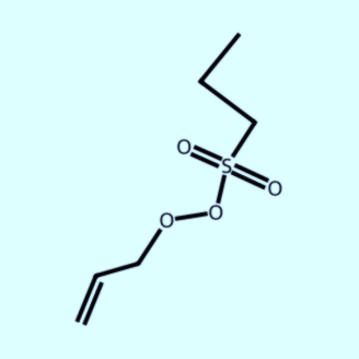 C=CCOOS(=O)(=O)CCC